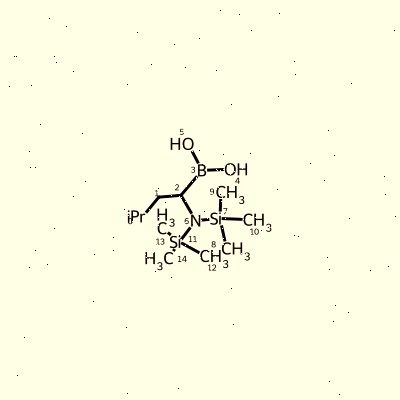 CC(C)CC(B(O)O)N([Si](C)(C)C)[Si](C)(C)C